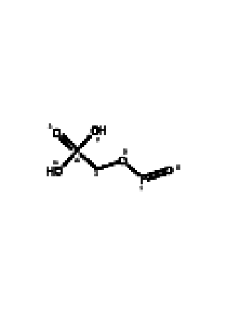 O=POCP(=O)(O)O